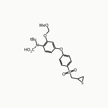 COCOc1cc(Oc2ccc(S(=O)(=O)CC3CS3)cc2)ccc1N(C(=O)O)C(C)(C)C